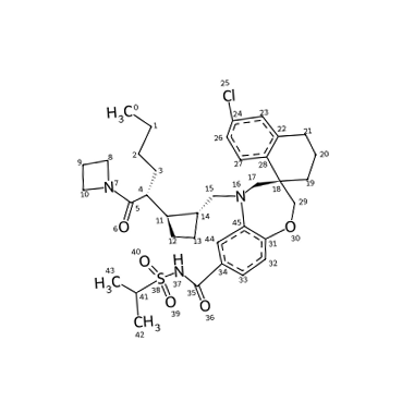 CCCC[C@@H](C(=O)N1CCC1)[C@@H]1CC[C@H]1CN1C[C@@]2(CCCc3cc(Cl)ccc32)COc2ccc(C(=O)NS(=O)(=O)C(C)C)cc21